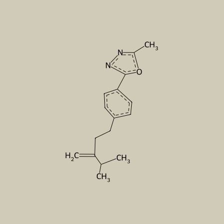 C=C(CCc1ccc(-c2nnc(C)o2)cc1)C(C)C